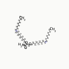 CCCCCCCC/C=C\CCCCCCCCOCC(OCCCCCCCC/C=C\CCCCCCCC)C(N)=O